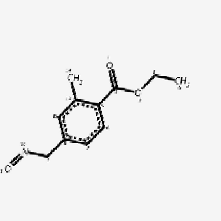 CCOC(=O)c1ccc(CN=O)cc1C